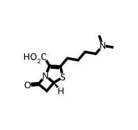 CN(C)CCCCC1=C(C(=O)O)N2C(=O)C[C@H]2S1